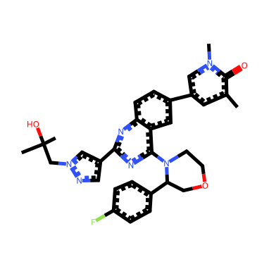 Cc1cc(-c2ccc3nc(-c4cnn(CC(C)(C)O)c4)nc(N4CCOCC4c4ccc(F)cc4)c3c2)cn(C)c1=O